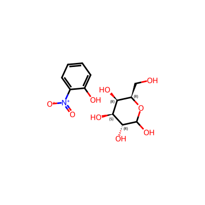 O=[N+]([O-])c1ccccc1O.OC[C@H]1OC(O)[C@H](O)[C@@H](O)[C@H]1O